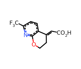 O=C(O)C=C1CCOc2nc(C(F)(F)F)ccc21